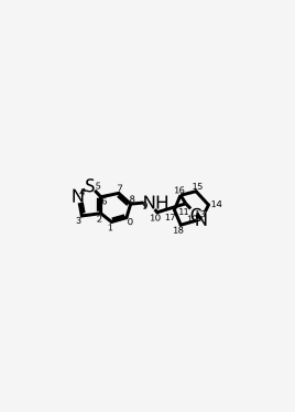 c1cc2cnsc2cc1NCC1CN2CCC1CC2